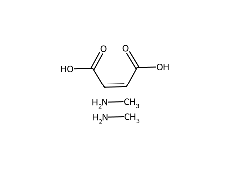 CN.CN.O=C(O)/C=C\C(=O)O